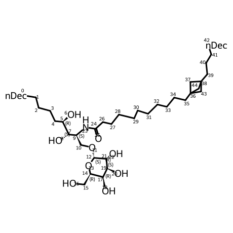 CCCCCCCCCCCCCC[C@@H](O)[C@@H](O)[C@H](CO[C@H]1O[C@H](CO)[C@H](O)[C@H](O)[C@H]1O)NC(=O)CCCCCCCCCCC12CC(CCCCCCCCCCCCC)(C1)C2